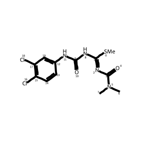 CSC(=NC(=O)N(C)C)NC(=O)Nc1ccc(Cl)c(Cl)c1